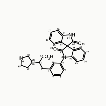 O=C(O)C(Cc1cccc(N2C(=O)C3(C(=O)Nc4ccccc43)c3ccccc32)c1)[C@H]1CCNC1